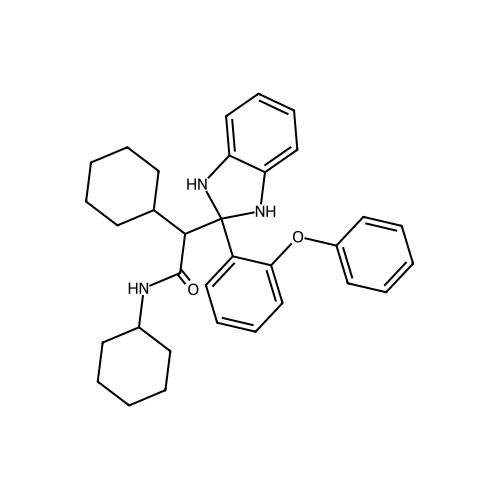 O=C(NC1CCCCC1)C(C1CCCCC1)C1(c2ccccc2Oc2ccccc2)Nc2ccccc2N1